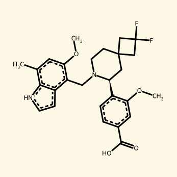 COc1cc(C(=O)O)ccc1[C@@H]1CC2(CCN1Cc1c(OC)cc(C)c3[nH]ccc13)CC(F)(F)C2